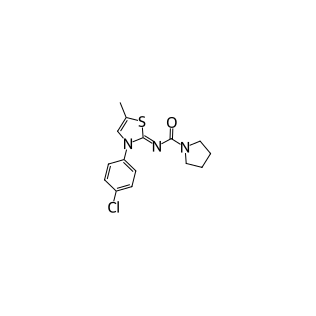 Cc1cn(-c2ccc(Cl)cc2)/c(=N/C(=O)N2CCCC2)s1